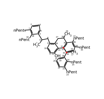 CCCCCc1cccc(C(C)Cc2ccc(O)c(CC(C)c3cccc(CCCCC)c3CCCCC)c2CC(C)c2cccc(CCCCC)c2CCCCC)c1CCCCC